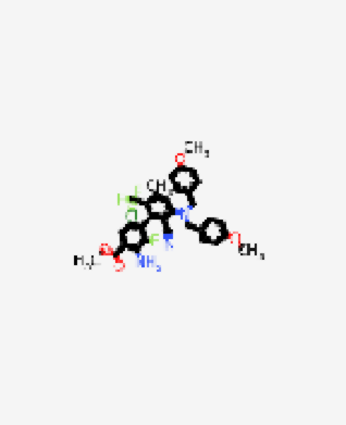 COC(=O)c1cc(Cl)c(-c2c(C#N)c(N(Cc3ccc(OC)cc3)Cc3ccc(OC)cc3)cc(C)c2C(F)(F)F)c(F)c1N